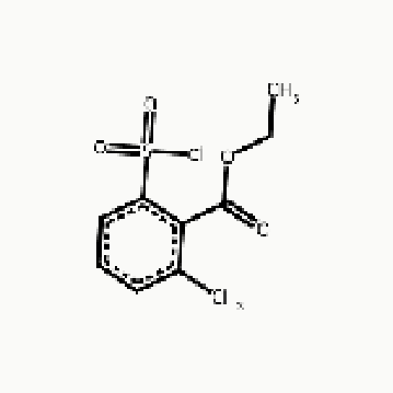 CCOC(=O)c1c(C)cccc1S(=O)(=O)Cl